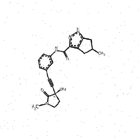 CC1Cc2[nH]nc(C(=O)Nc3cccc(C#C[C@]4(O)CCN(C)C4=O)c3)c2C1